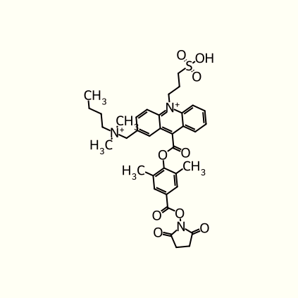 CCCC[N+](C)(C)Cc1ccc2c(c1)c(C(=O)Oc1c(C)cc(C(=O)ON3C(=O)CCC3=O)cc1C)c1ccccc1[n+]2CCCS(=O)(=O)O